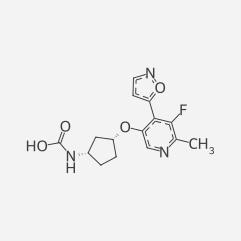 Cc1ncc(O[C@@H]2CC[C@H](NC(=O)O)C2)c(-c2ccno2)c1F